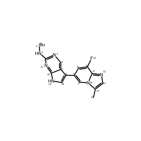 CCC(C)Nc1ncc2c(-c3cc(F)c4ncc(C)n4c3)c[nH]c2n1